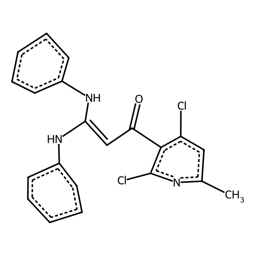 Cc1cc(Cl)c(C(=O)C=C(Nc2ccccc2)Nc2ccccc2)c(Cl)n1